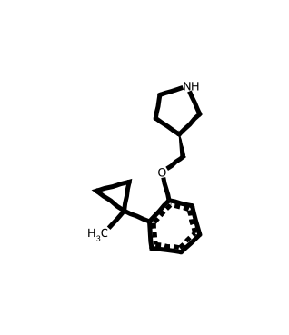 CC1(c2ccccc2OC[C@H]2CCNC2)CC1